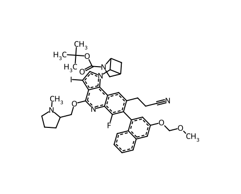 COCOc1cc(-c2c(CCC#N)cc3c(nc(OCC4CCCN4C)c4c(I)cn(C5C6CC5N(C(=O)OC(C)(C)C)C6)c43)c2F)c2ccccc2c1